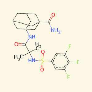 CC(C)(NS(=O)(=O)c1cc(F)c(F)c(F)c1)C(=O)NC12CC3CC(C1)CC(C(N)=O)(C3)C2